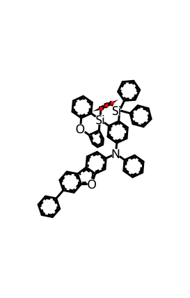 c1ccc(-c2ccc3c(c2)oc2cc(N(c4ccccc4)c4ccc5c(c4)[Si]4(c6ccccc6Oc6ccccc64)c4ccccc4[Si]5(c4ccccc4)c4ccccc4)ccc23)cc1